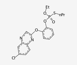 CCCSP(=O)(OCC)Oc1ccccc1Oc1cnc2cc(Cl)ccc2n1